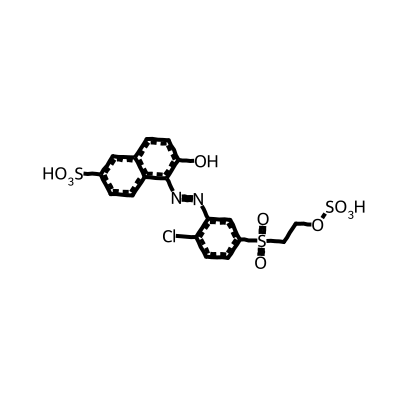 O=S(=O)(O)OCCS(=O)(=O)c1ccc(Cl)c(N=Nc2c(O)ccc3cc(S(=O)(=O)O)ccc23)c1